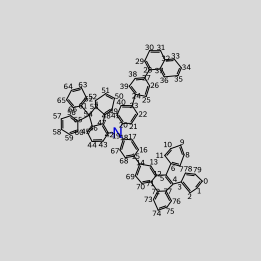 c1ccc(-c2c(-c3ccccc3)c3cc(-c4ccc(N(c5ccc(-c6ccc(-c7cccc8ccccc78)cc6)cc5)c5cccc6c5-c5ccccc5C6(c5ccccc5)c5ccccc5)cc4)ccc3c3ccccc23)cc1